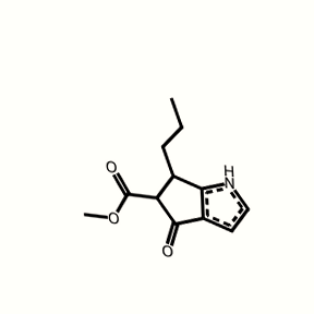 CCCC1c2[nH]ccc2C(=O)C1C(=O)OC